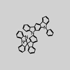 c1ccc(-n2c3ccccc3c3cc4c5ccccc5n(-c5ccc6c(c5)C5(c7ccccc7-6)c6ccccc6-n6c5nc5ccccc56)c4cc32)cc1